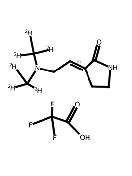 O=C(O)C(F)(F)F.[2H]C([2H])([2H])N(C/C=C1\CCNC1=O)C([2H])([2H])[2H]